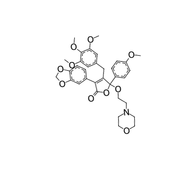 COc1ccc(C2(OCCN3CCOCC3)OC(=O)C(c3ccc4c(c3)OCO4)=C2Cc2cc(OC)c(OC)c(OC)c2)cc1